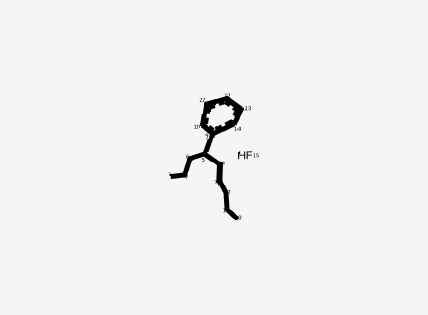 CCCCCC(CCC)c1ccccc1.F